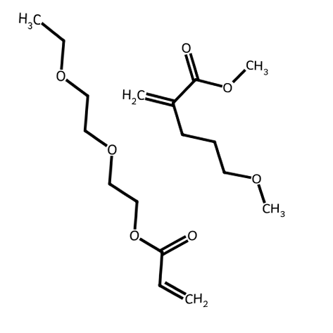 C=C(CCCOC)C(=O)OC.C=CC(=O)OCCOCCOCC